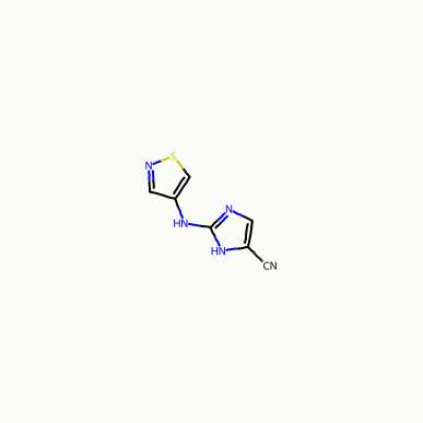 N#Cc1cnc(Nc2cnsc2)[nH]1